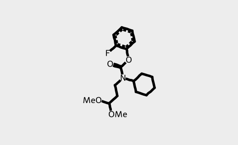 COC(CCN(C(=O)Oc1ccccc1F)C1CCCCC1)OC